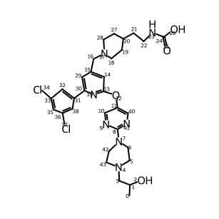 CC(O)CN1CCN(c2ncc(Oc3cc(CN4CCC(CCNC(=O)O)CC4)cc(-c4cc(Cl)cc(Cl)c4)n3)cn2)CC1